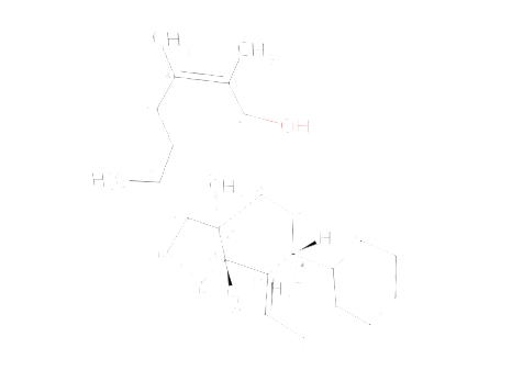 CC(CO)=C(C)CCC(C)[C@H]1CC[C@H]2C3=CCC4CCCC[C@]4(C)[C@H]3CC[C@]12C